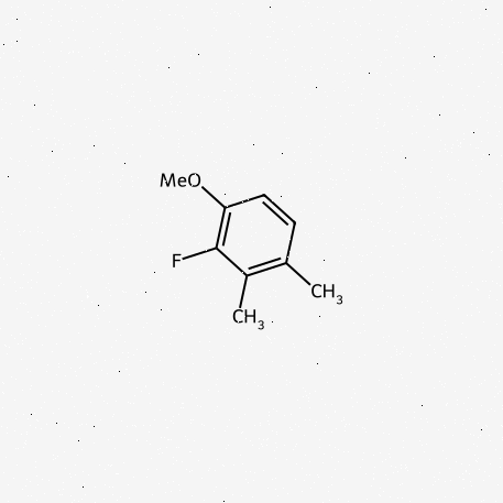 COc1ccc(C)c(C)c1F